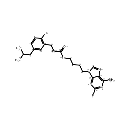 CC(C)Cc1ccc(Cl)c(CNC(=O)OCCCCn2cnc3c(N)nc(F)nc32)c1